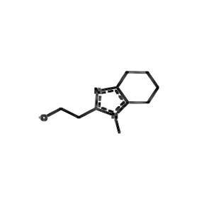 Cn1c(CC[O])nc2c1CCCC2